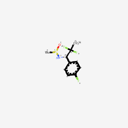 CC(C)(C)[S+]([O-])N[C@@H](c1ccc(F)cc1)C(F)(F)C(=O)O